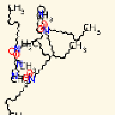 CCCCC/C=C\C/C=C\CCCCCCCCN(CCCCCCCCC(=C\C/C=C\CCCCC)/C(=C/CCCCCCCCN(CCCCCCCC/C=C\C/C=C\CCCCC)C(=O)OCCC1CC(C2CC(COC(=O)N(CCCCCCCC/C=C\C/C=C\CCCCC)CCCCCCCC/C=C\C/C=C\CCCCC)CN2C)CCN1C)C/C=C\CCCCC)C(=O)OCCCN1CCCCCC1